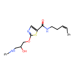 CC(C)/C=C\CCNC(=O)c1cnc(OCC(O)CNC(C)C)s1